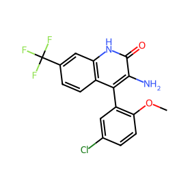 COc1ccc(Cl)cc1-c1c(N)c(=O)[nH]c2cc(C(F)(F)F)ccc12